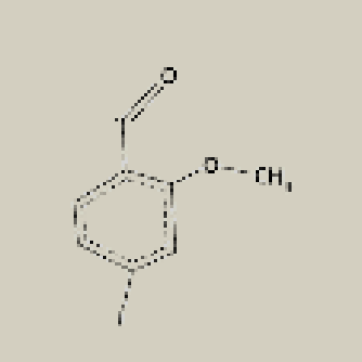 COc1cc(I)ccc1[C]=O